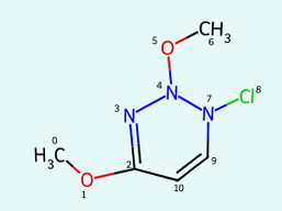 COC1=NN(OC)N(Cl)C=C1